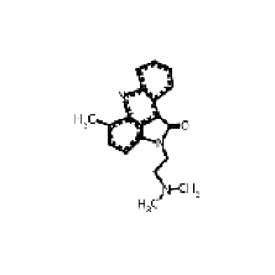 Cc1ccc2c3c(c4ccccc4nc13)C(=O)N2CCN(C)C